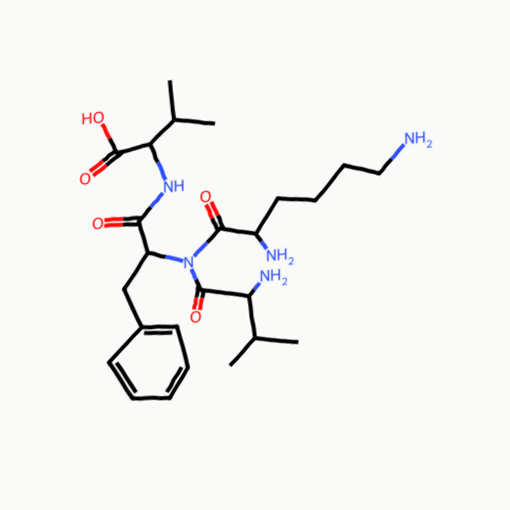 CC(C)C(N)C(=O)N(C(=O)C(N)CCCCN)C(Cc1ccccc1)C(=O)NC(C(=O)O)C(C)C